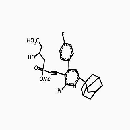 COP(=O)(C#Cc1c(-c2ccc(F)cc2)cc(C23CC4CC(CC(C4)C2)C3)nc1C(C)C)C[C@@H](O)CC(=O)O